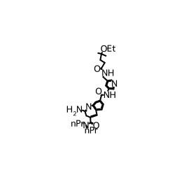 CCCN(CCC)C(=O)C1=Cc2ccc(C(=O)Nc3cncc(CNC(=O)CCC(C)(C)OCC)c3)cc2N=C(N)C1